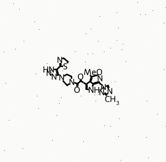 COc1cnc(-n2cnc(C)n2)c2[nH]cc(C(=O)C(=O)N3CCN(c4nn[nH]c4C4=NCCS4)CC3)c12